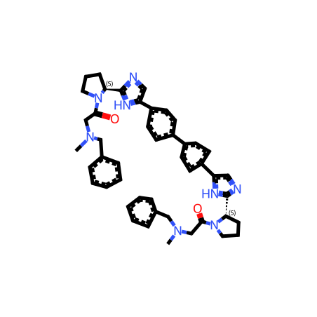 CN(CC(=O)N1CCC[C@H]1c1ncc(-c2ccc(-c3ccc(-c4cnc([C@@H]5CCCN5C(=O)CN(C)Cc5ccccc5)[nH]4)cc3)cc2)[nH]1)Cc1ccccc1